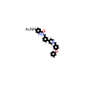 CC(=O)Nc1ccc(C(=O)NCc2cccc(C3CCN(Cc4ccc(Oc5ccccc5)cc4)CC3)c2)cc1